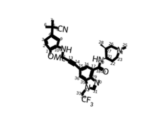 COc1ccc(C(C)(C)C#N)cc1NCC#Cc1cc(C(=O)N[C@H]2CCN(C)C[C@@H]2C)c2ncn(CC(F)(F)F)c2c1